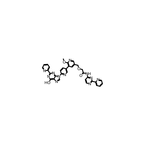 COc1ncc(COCC(=O)Nc2ccnc(-c3ccccn3)n2)cc1-c1ccc(-n2cnc3c(O)nc(-c4ccccn4)nc32)nc1